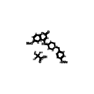 COc1ccc(CN2CCC(Nc3cc(=O)oc4ccc(OC)cc34)CC2)cc1.O=C(O)C(F)(F)F